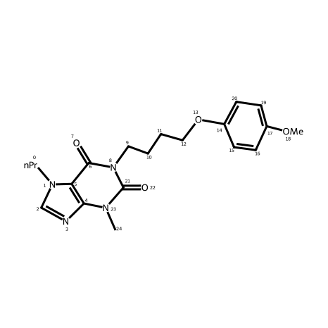 CCCn1cnc2c1c(=O)n(CCCCOc1ccc(OC)cc1)c(=O)n2C